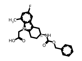 Cc1cc(F)cc2c3c(n(CC(=O)O)c12)CC[C@H](NC(=O)OCc1ccccc1)C3